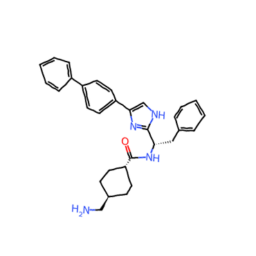 NC[C@H]1CC[C@H](C(=O)N[C@@H](Cc2ccccc2)c2nc(-c3ccc(-c4ccccc4)cc3)c[nH]2)CC1